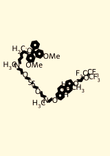 [CH2]C(CCCCN(C)CCCOCCSSCCOCCCN(C)CCOc1ccc2c(c1)CC[C@@H]1[C@@H]2CC[C@]2(C)[C@@H](OCCCOC(C(F)(F)F)(C(F)(F)F)C(F)(F)F)CC[C@@H]12)COC(c1ccccc1)(c1ccc(OC)cc1)c1ccc(OC)cc1